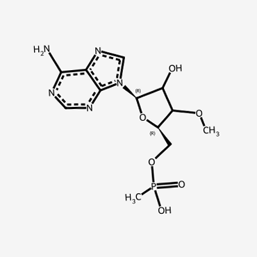 COC1C(O)[C@H](n2cnc3c(N)ncnc32)O[C@@H]1COP(C)(=O)O